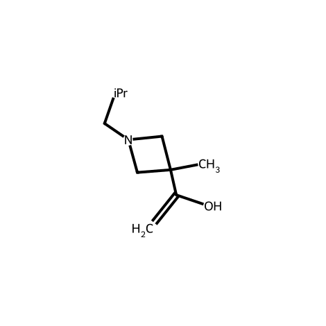 C=C(O)C1(C)CN(CC(C)C)C1